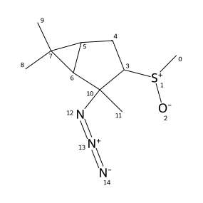 C[S+]([O-])C1CC2C(C2(C)C)C1(C)N=[N+]=[N-]